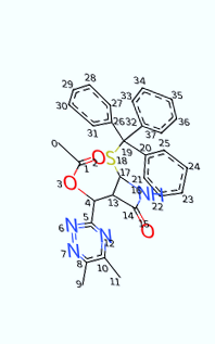 CC(=O)OC(c1nnc(C)c(C)n1)C1C(=O)NC1SC(c1ccccc1)(c1ccccc1)c1ccccc1